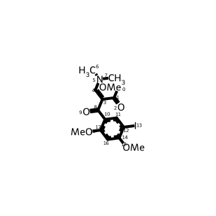 COC(=O)C(=CN(C)C)C(=O)c1cc(I)c(OC)cc1OC